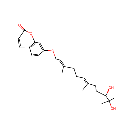 C/C(=C\COc1ccc2ccc(=O)oc2c1)CC/C=C(\C)CC[C@@H](O)C(C)(C)O